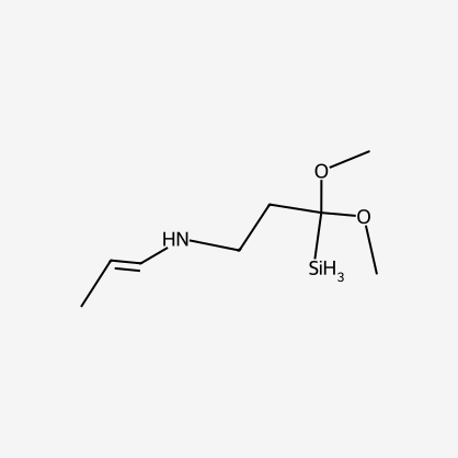 CC=CNCCC([SiH3])(OC)OC